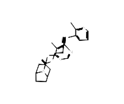 C#CCCOC(=O)N1C2CCC1CC(Oc1ncnc(Oc3cccnc3C)c1C)C2